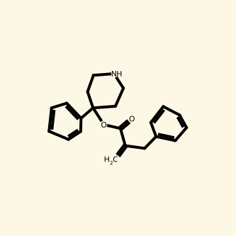 C=C(Cc1ccccc1)C(=O)OC1(c2ccccc2)CCNCC1